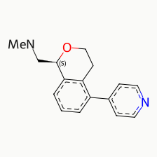 CNC[C@H]1OCCc2c(-c3ccncc3)cccc21